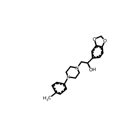 Cc1ccc(N2CCN(CC(O)c3ccc4c(c3)OCO4)CC2)cc1